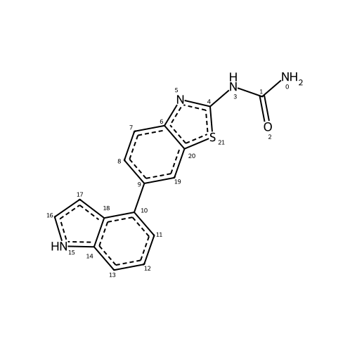 NC(=O)Nc1nc2ccc(-c3cccc4[nH]ccc34)cc2s1